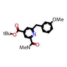 CNC(=O)c1cc(C(=O)OC(C)(C)C)cc(Cc2cccc(OC)c2)n1